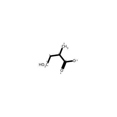 CC(CC(=O)O)C([O])=O